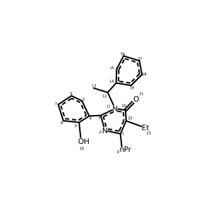 CCCc1nc(-c2ccccc2O)n(C(C)c2ccccc2)c(=O)c1CC